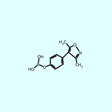 Cc1noc(C)c1-c1ccc(OB(O)O)cc1